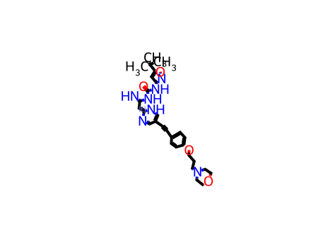 CC(C)(C)c1cc(NC(=O)NC(=N)/C=C2/N=CC(C#Cc3ccc(OCCCN4CCOCC4)cc3)=CN2)no1